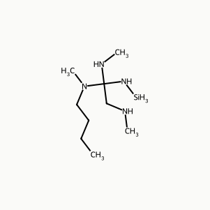 CCCCN(C)C(CNC)(NC)N[SiH3]